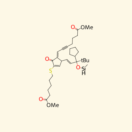 COC(=O)CCCC#CC=C1C(=O)C(SCCCCCC(=O)OC)=CC1C=CC(O[SiH](C)C)(C1CCCC1)C(C)(C)C